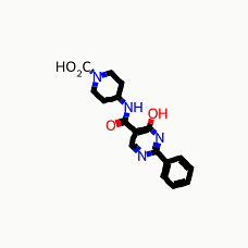 O=C(NC1CCN(C(=O)O)CC1)c1cnc(-c2ccccc2)nc1O